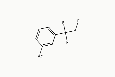 CC(=O)c1cccc(C(F)(F)CF)c1